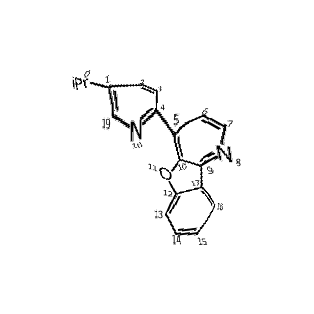 CC(C)c1ccc(-c2ccnc3c2oc2ccccc23)nc1